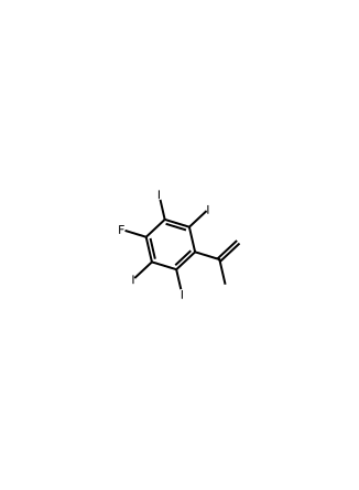 C=C(C)c1c(I)c(I)c(F)c(I)c1I